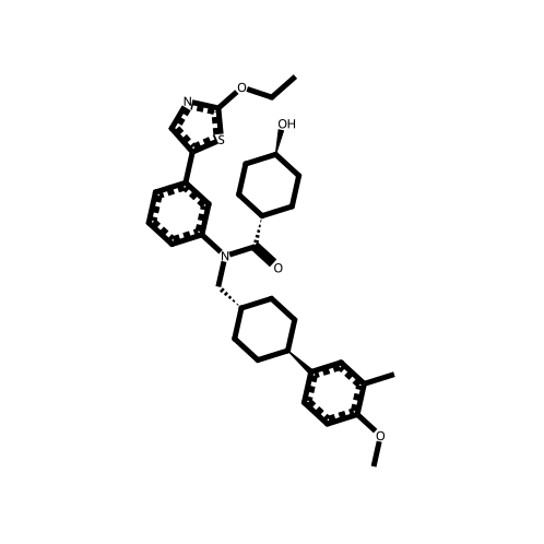 CCOc1ncc(-c2cccc(N(C[C@H]3CC[C@H](c4ccc(OC)c(C)c4)CC3)C(=O)[C@H]3CC[C@H](O)CC3)c2)s1